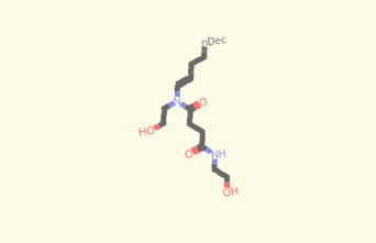 CCCCCCCCCCCCC=CN(CCO)C(=O)CCC(=O)NCCO